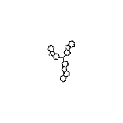 c1ccc2c(c1)ccc1c3ccc(N(c4ccc5c(c4)oc4ccccc45)c4ccc5oc6ccccc6c5c4)cc3sc21